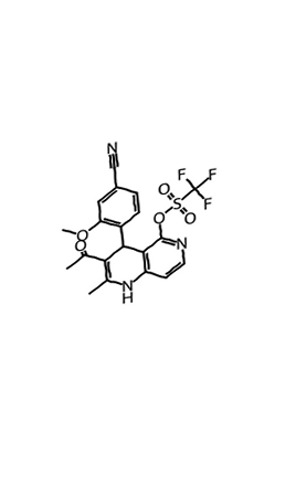 COc1cc(C#N)ccc1C1C(C(C)=O)=C(C)Nc2ccnc(OS(=O)(=O)C(F)(F)F)c21